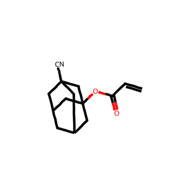 C=CC(=O)OC12CC3CC(CC(C#N)(C3)C1)C2